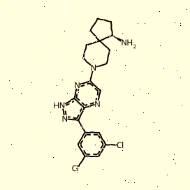 N[C@@H]1CCCC12CCN(c1cnc3c(-c4cc(Cl)cc(Cl)c4)n[nH]c3n1)CC2